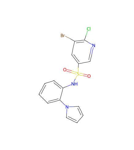 O=S(=O)(Nc1ccccc1-n1cccc1)c1cnc(Cl)c(Br)c1